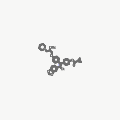 CC/C(=C(/c1ccc(OCC(CN2CCCCC2)OC(C)=O)cc1)c1ccc(OC(=O)C2CC2)cc1)c1ccc2c(c1)OCO2